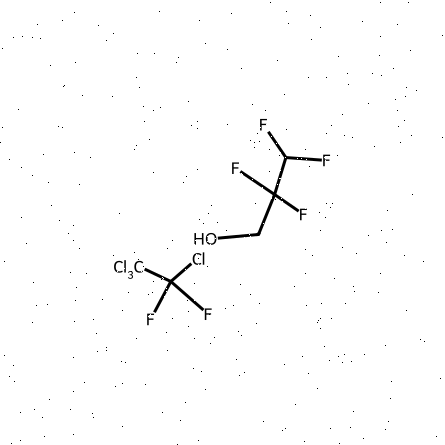 FC(F)(Cl)C(Cl)(Cl)Cl.OCC(F)(F)C(F)F